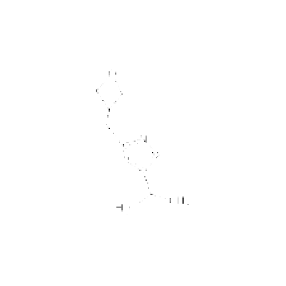 CC(C)c1cnn(CC2COC2)c1